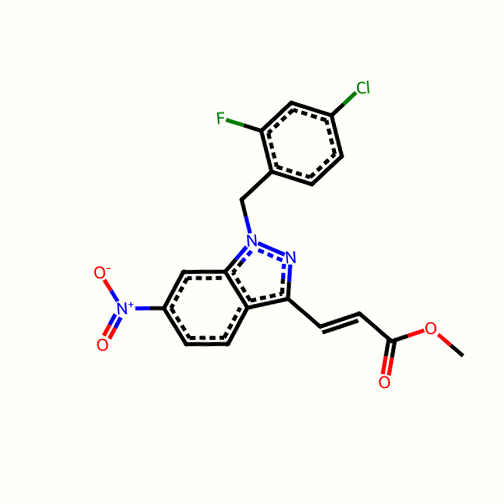 COC(=O)/C=C/c1nn(Cc2ccc(Cl)cc2F)c2cc([N+](=O)[O-])ccc12